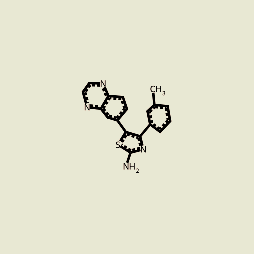 Cc1cccc(-c2nc(N)sc2-c2ccc3nccnc3c2)c1